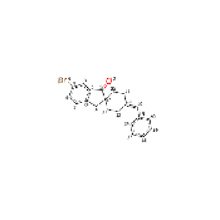 O=C1c2cc(Br)ccc2CC12CCC(=Cc1ccccc1)CC2